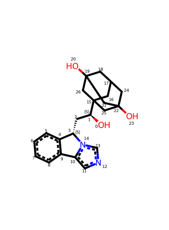 O[C@@H](C[C@H]1c2ccccc2-c2cncn21)C12CC3CC(O)(CC(O)(C3)C1)C2